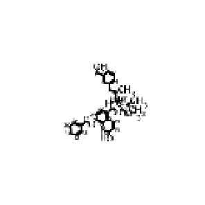 C[C@H](Cc1cccc(CO)c1)NC[C@H](O[Si](C)(C)C(C)(C)C)c1ccc(OCc2ccccc2)c2[nH]c(=O)ccc12